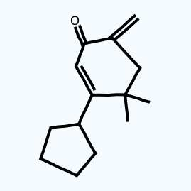 C=C1CC(C)(C)C(C2CCCC2)=CC1=O